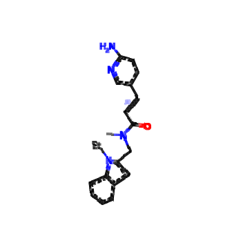 CCn1c(CN(C)C(=O)/C=C/c2ccc(N)nc2)cc2ccccc21